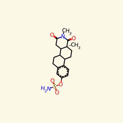 CN1C(=O)CC2C3CCc4cc(OS(N)(=O)=O)ccc4C3CC[C@]2(C)C1=O